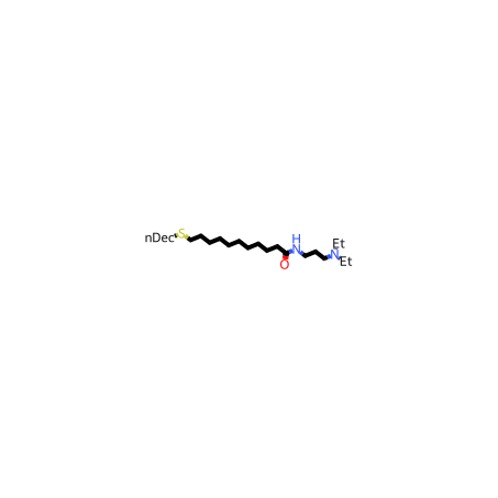 CCCCCCCCCCSCCCCCCCCCCC(=O)NCCCN(CC)CC